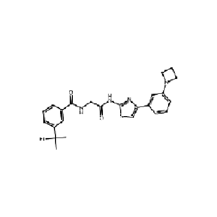 CCC(C)(C)c1cccc(C(=O)NCC(=O)Nc2nc(-c3cccc(N4CCC4)c3)cs2)c1